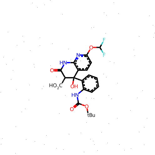 CC(C)(C)OC(=O)Nc1ccccc1C1(O)c2ccc(OC(F)F)nc2NC(=O)C1C(=O)O